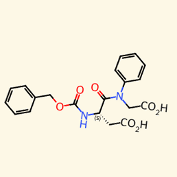 O=C(O)C[C@H](NC(=O)OCc1ccccc1)C(=O)N(CC(=O)O)c1ccccc1